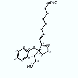 CCCCCCCCCCCCCCCC=CC1=NCC[N+]1(CCO)Cc1ccccc1